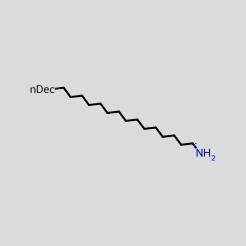 CCCCCCCCCCCCCCCCCCCCCCCC[CH]N